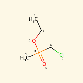 CCOP(C)(=O)CCl